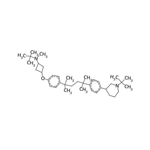 CN(C1CC(Oc2ccc(C(C)(C)CCC(C)(C)c3ccc(C4CCCN(C(C)(C)C)C4)cc3)cc2)C1)C(C)(C)C